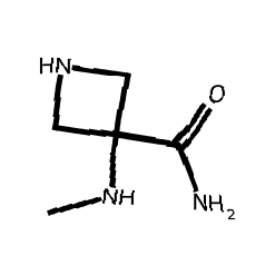 CNC1(C(N)=O)CNC1